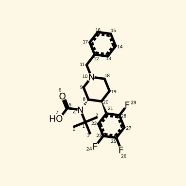 CC(C)(C)N(C(=O)O)[C@@H]1CN(Cc2ccccc2)CC[C@H]1c1cc(F)c(F)cc1F